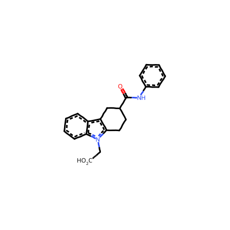 O=C(O)Cn1c2c(c3ccccc31)CC(C(=O)Nc1ccccc1)CC2